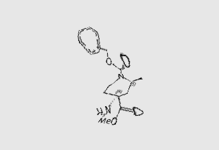 COC(=O)[C@@]1(N)CCN(C(=O)OCc2ccccc2)[C@@H](C)C1